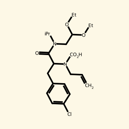 C=CCN(C(=O)O)C(Cc1ccc(Cl)cc1)C(=O)N(CC(OCC)OCC)C(C)C